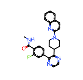 CNC(=O)c1ccc(-c2nccnc2C2CCN(c3ccc4ccccc4n3)CC2)cc1F